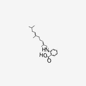 C/C(=C\CC(C)C)CC/C=C(\C)CNc1ccccc1C(=O)O